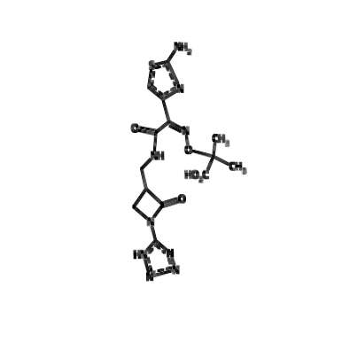 CC(C)(ON=C(C(=O)NCC1CN(c2nnn[nH]2)C1=O)c1csc(N)n1)C(=O)O